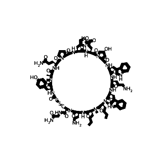 CCCC[C@H]1C(=O)N(C)[C@@H](CCCC)C(=O)N[C@@H](CCN)C(=O)N[C@H](C(=O)NCC(N)=O)CSCC(=O)N[C@@H](Cc2ccc(O)cc2)C(=O)N(C)[C@@H](C)C(=O)N[C@@H](CCC(N)=O)C(=O)N2CCC[C@H]2C(=O)N[C@@H](Cc2cnc[nH]2)C(=O)N[C@@H](CCC(=O)O)C(=O)N2C[C@H](O)C[C@H]2C(=O)N[C@@H](Cc2c[nH]c3ccccc23)C(=O)N[C@@H](CCCN)C(=O)N[C@@H](Cc2c[nH]c3ccccc23)C(=O)N1C